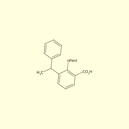 CCCCCc1c(C(=O)O)cccc1C(C)c1ccccc1